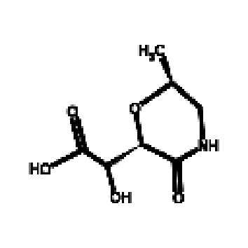 C[C@H]1CNC(=O)[C@H](C(O)C(=O)O)O1